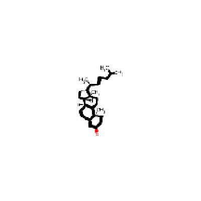 CC(C)C/C=C/[C@@H](C)[C@H]1CC[C@H]2[C@@H]3CCC4=CC(=O)CC[C@]4(C)C3CC[C@]12C